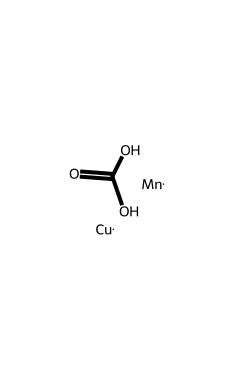 O=C(O)O.[Cu].[Mn]